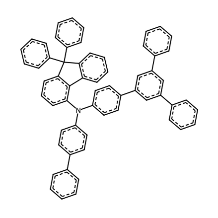 c1ccc(-c2ccc(N(c3ccc(-c4cc(-c5ccccc5)cc(-c5ccccc5)c4)cc3)c3cccc4c3-c3ccccc3C4(c3ccccc3)c3ccccc3)cc2)cc1